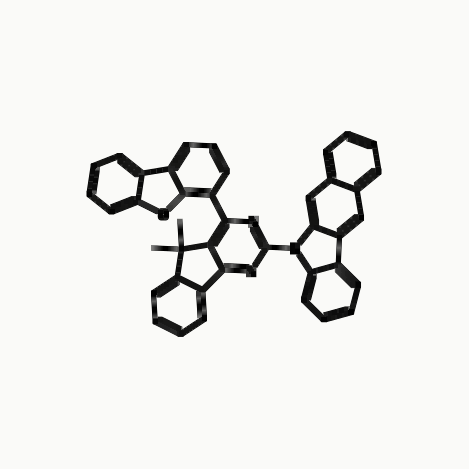 CC1(C)c2ccccc2-c2nc(-n3c4ccccc4c4cc5ccccc5cc43)nc(-c3cccc4c3oc3ccccc34)c21